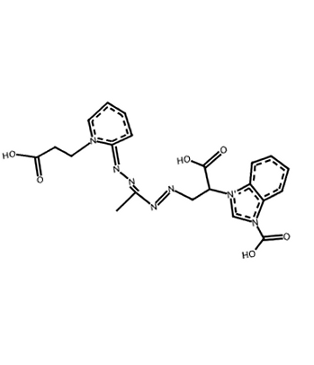 CC(N=NCC(C(=O)O)[n+]1cn(C(=O)O)c2ccccc21)=NN=c1ccccn1CCC(=O)O